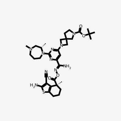 C[C@H]1CN(C)CCCN1c1nc(/C(N)=N/OC(=O)[C@@]2(C)CCCc3sc(N)c(C#N)c32)cc(N2CC3(CCN(C(=O)OC(C)(C)C)C3)C2)n1